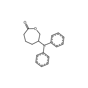 O=C1CCCC(N(c2ccccc2)c2ccccc2)CO1